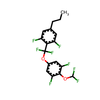 CCCc1cc(F)c(C(F)(F)Oc2cc(F)c(OC(F)F)c(F)c2)c(F)c1